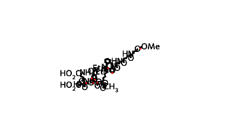 CCN(CC)C(=O)c1ccc(N(CSCC(NC(=O)CCC(N)C(=O)O)C(=O)NCC(=O)O)C(=O)OC(CCCCCn2nnc3c2-c2ccccc2N(C(=O)CCNC(=O)CCCC(=O)NCCCOCCOC)Cc2ccccc2-3)CS(C)(=O)=O)cc1